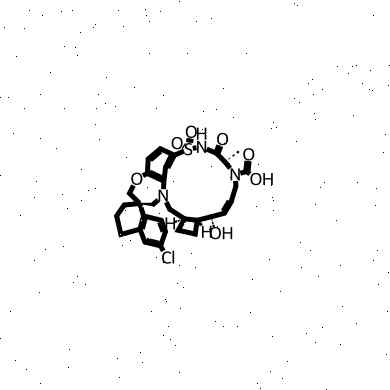 C[C@H]1C(=O)NS(=O)(=O)c2ccc3c(c2)N(C[C@@H]2CC[C@H]2[C@@H](O)C=CCN1C(=O)O)C[C@@]1(CCCc2cc(Cl)ccc21)CO3